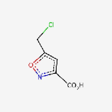 O=C(O)c1cc(CCl)on1